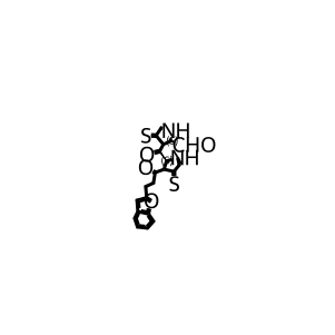 O=C[C@H]1NCC(=S)C1C(=O)[C@H]1NCC(=S)C1C(=O)CCc1cc2ccccc2o1